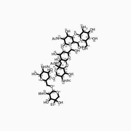 CCC1(O)CO[C@@H](OCC2O[C@@H](O)C(NC(C)=O)C(O)[C@@H]2O[C@@H]2OC(I)(CO)[C@@H](O[C@@H]3OC(CO)[C@@H](O[C@@H]4OC(CO)[C@@H](O[C@@H]5OC(CO)[C@@H](O)C(O)C5N)C(O)C4NC(C)=O)C(O)C3NC(C)=O)C(O)C2NC(C)=O)C(OC)C1O